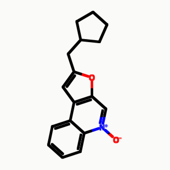 [O-][n+]1cc2oc(CC3CCCC3)cc2c2ccccc21